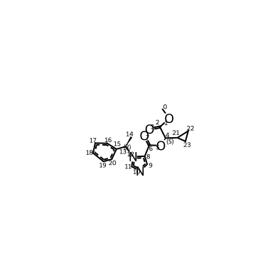 COC(=O)[C@@H](OC(=O)c1cncn1[C@H](C)c1ccccc1)C1CC1